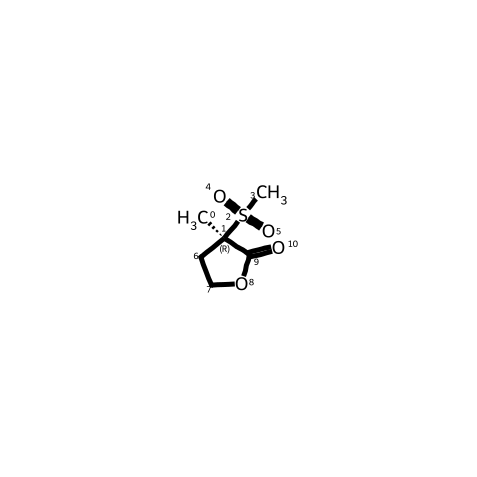 C[C@@]1(S(C)(=O)=O)CCOC1=O